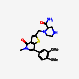 COc1ccc(-c2cn(C)c(=O)c3cc(CN4CCNCC4C(N)=O)sc23)cc1OC